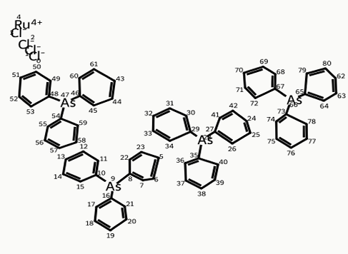 [Cl-].[Cl-].[Cl-].[Cl-].[Ru+4].c1ccc([As](c2ccccc2)c2ccccc2)cc1.c1ccc([As](c2ccccc2)c2ccccc2)cc1.c1ccc([As](c2ccccc2)c2ccccc2)cc1.c1ccc([As](c2ccccc2)c2ccccc2)cc1